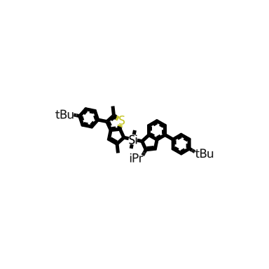 CC1=Cc2c(sc(C)c2-c2ccc(C(C)(C)C)cc2)C1[Si](C)(C)C1C(C(C)C)=Cc2c(-c3ccc(C(C)(C)C)cc3)cccc21